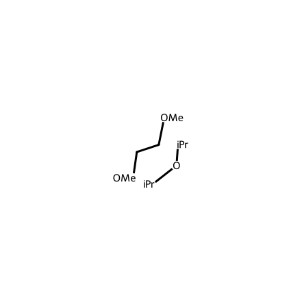 CC(C)OC(C)C.COCCOC